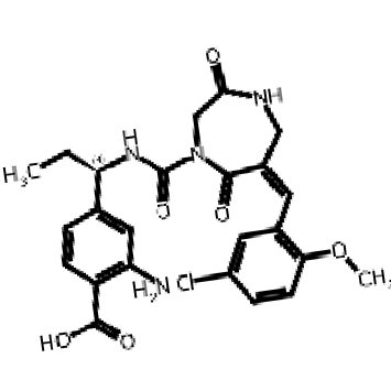 CC[C@@H](NC(=O)N1CC(=O)NCC(=Cc2cc(Cl)ccc2OC)C1=O)c1ccc(C(=O)O)c(N)c1